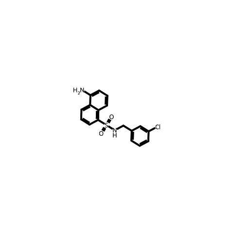 Nc1cccc2c(S(=O)(=O)NCc3cccc(Cl)c3)cccc12